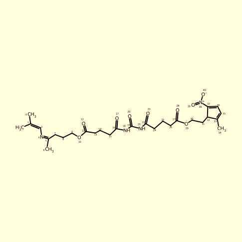 CC(C)=C/N=C(/C)CCCOC(=O)CCCC(=O)NC(=O)NC(=O)CCCC(=O)OCCC1C(C)=CC=C1[N+](=O)[O-]